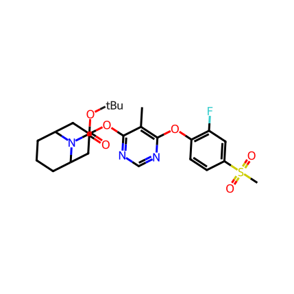 Cc1c(Oc2ccc(S(C)(=O)=O)cc2F)ncnc1OC1CC2CCCC(C1)N2C(=O)OC(C)(C)C